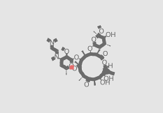 CO[C@H]1[C@H](O[C@@H]2[C@@H](C)[C@H](O[C@H]3C[C@@H](C)[C@H](O)[C@](C)(OC)O3)[C@@H](C)C(=O)O[C@@H]3C(C)[C@]3(O)[C@H](O)[C@@H](C)C(=O)[C@H](C)C[C@]2(C)OC)O[C@H](C)C[C@@H]1N(C)CCN(C)C